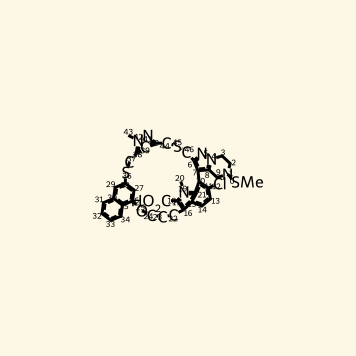 CSN1CCn2nc3c(c2C1)-c1c(Cl)ccc2c(c(C(=O)O)n(C)c12)CCCOc1cc(cc2ccccc12)SCc1cc(nn1C)CSC3